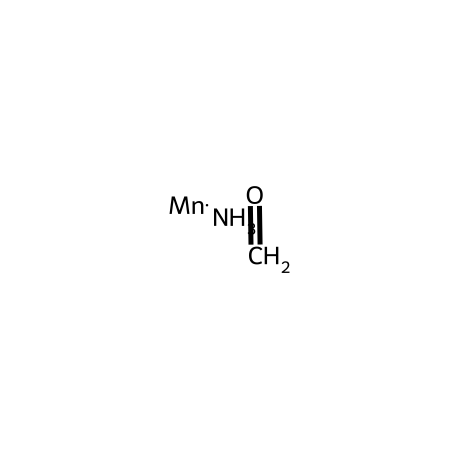 C=O.N.[Mn]